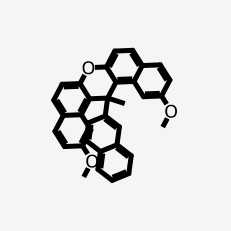 COc1ccc2ccc3c(c2c1)C(C)(c1ccc2ccccc2c1)c1c(ccc2ccc(OC)cc12)O3